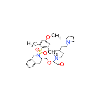 COc1cc(C)c(S(=O)(=O)N2Cc3ccccc3CC2CO[C@@H](C=O)N2CCC(CCN3CCCC3)CC2)c(C)c1